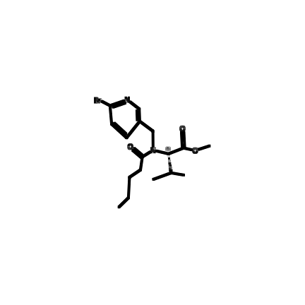 CCCCC(=O)N(Cc1ccc(Br)nc1)[C@H](C(=O)OC)C(C)C